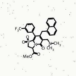 COC(=O)C1CS(=O)(=O)c2c(-c3cccc(C(F)(F)F)c3)c(Cc3cccc4ccccc34)c(CN(C)C)c(=O)n21